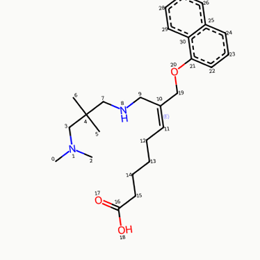 CN(C)CC(C)(C)CNC/C(=C\CCCCC(=O)O)COc1cccc2ccccc12